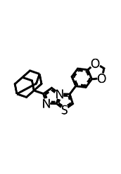 c1cc2c(cc1-c1csc3nc(C45CC6CC(CC(C6)C4)C5)cn13)OCO2